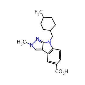 Cn1cc2c3cc(C(=O)O)ccc3n(CC3CCC(C(F)(F)F)CC3)c2n1